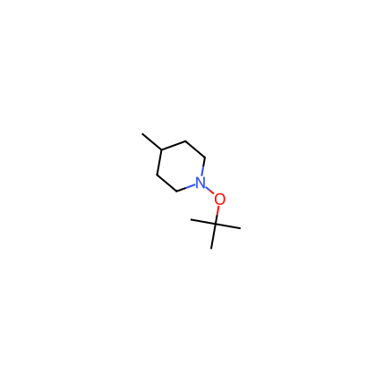 CC1CCN(OC(C)(C)C)CC1